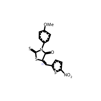 COc1ccc(N2C(=O)/C(=C\c3ccc([N+](=O)[O-])s3)SC2=S)cc1